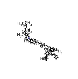 CCN(CC)CCNC(=O)c1c(C)[nH]c(/C=C2\C(=O)Nc3ccc(OC(=O)CCCC(=O)OCCN(Cc4cccc(OC)c4)C(=O)Nc4ccc(-c5cn[nH]c5)cc4OCCN4CCCC4)cc32)c1C